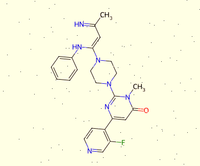 CC(=N)/C=C(\Nc1ccccc1)N1CCN(c2nc(-c3ccncc3F)cc(=O)n2C)CC1